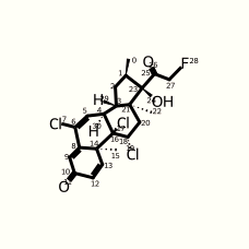 C[C@@H]1C[C@H]2[C@@H]3C=C(Cl)C4=CC(=O)C=C[C@]4(C)[C@@]3(Cl)[C@@H](Cl)C[C@]2(C)[C@@]1(O)C(=O)CF